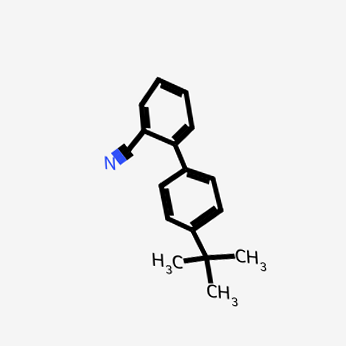 CC(C)(C)c1ccc(-c2ccccc2C#N)cc1